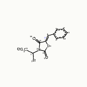 CCOC(=O)C(CC)N1C(=O)O/C(=C\c2ccccc2)C1=O